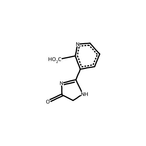 O=C1CNC(c2cccnc2C(=O)O)=N1